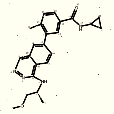 COC[C@H](C)Nc1nncc2cc(-c3cc(C(=O)NC4CC4)ccc3C)ccc12